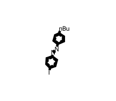 CCCCc1ccc(N=Nc2ccc(I)cc2)cc1